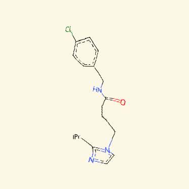 CC(C)c1nccn1CCC(=O)NCc1ccc(Cl)cc1